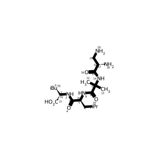 CC[C@H](C)[C@H](NC(=O)[C@H](CC(C)C)NC(=O)C(C)(C)NC(=O)[C@@H](N)CN)C(=O)O